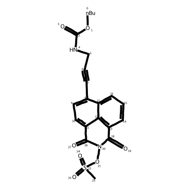 CCCCOC(=O)NCC#Cc1ccc2c3c(cccc13)C(=O)N(OS(C)(=O)=O)C2=O